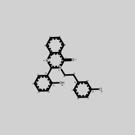 O=c1c2ccccc2nc(-c2ccccc2O)n1CCc1cccc(Cl)c1